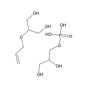 C=CCOC(CO)CO.O=P(O)(O)OCC(O)CO